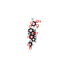 CO[C@H]1C[C@H](O[C@H]2CC[C@@]3(CO)[C@H](CC[C@@H]4[C@@H]3CC[C@]3(C)[C@@H](C5=CC(=O)OC5)CC[C@]43O)C2)O[C@H](C)[C@H]1O